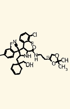 CC1(C)OC[C@H](CCNC(=O)C2NC(CC3(CO)CC=CCC3)C(C#N)(c3ccc(Cl)cc3F)C2c2cccc(Cl)c2F)O1